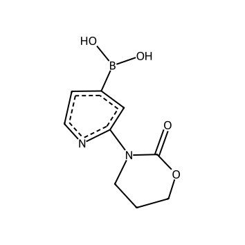 O=C1OCCCN1c1cc(B(O)O)ccn1